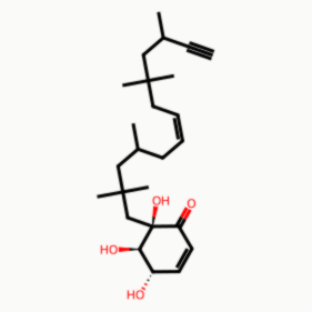 C#CC(C)CC(C)(C)C/C=C\CC(C)CC(C)(C)C[C@]1(O)C(=O)C=C[C@H](O)[C@H]1O